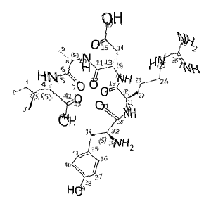 CC[C@H](C)[C@H](NC(=O)[C@H](C)NC(=O)[C@H](CC(=O)O)NC(=O)[C@@H](CCCNC(=N)N)NC(=O)[C@@H](N)Cc1ccc(O)cc1)C(=O)O